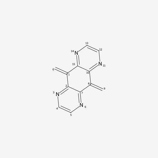 C=c1c2nccnc2c(=C)c2nccnc12